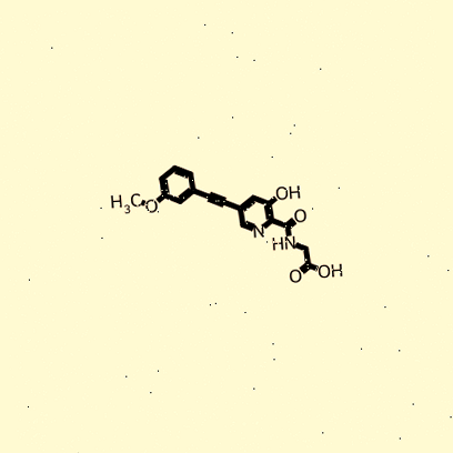 COc1cccc(C#Cc2cnc(C(=O)NCC(=O)O)c(O)c2)c1